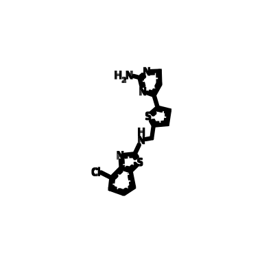 Nc1nccc(-c2ccc(CNc3nc4c(Cl)cccc4s3)s2)n1